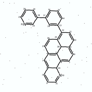 C1=CC2=CC3=C4C(=CC=C5C=CC(c6cccc(-c7cccnc7)c6)=C(C=C3)C54)C2N=C1